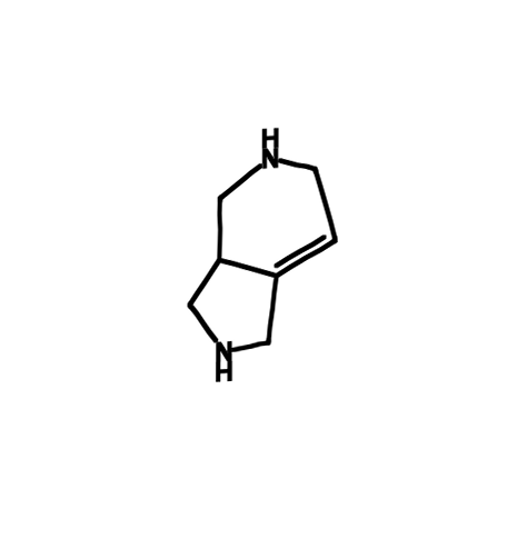 C1=C2CNCC2CNC1